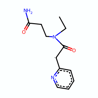 CCN(CCC(N)=O)C(=O)[CH]c1ccccn1